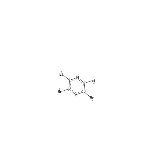 CCc1nc(CC)c(Br)cc1Br